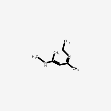 CC/N=C(C)\C=C(/C)NC